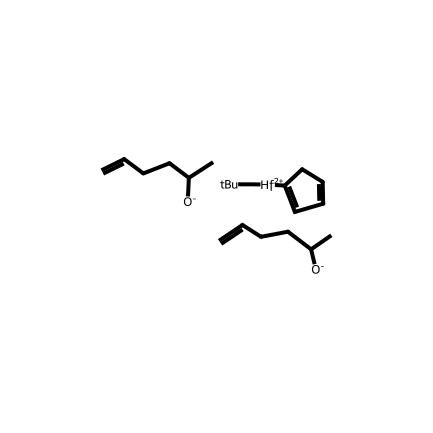 C=CCCC(C)[O-].C=CCCC(C)[O-].C[C](C)(C)[Hf+2][C]1=CC=CC1